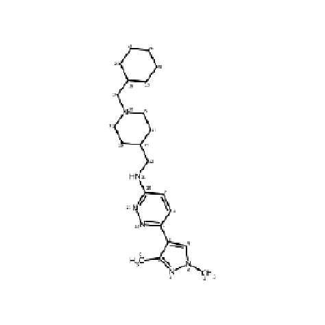 Cc1nn(C)cc1-c1ccc(NCC2CCN(CC3CCCCC3)CC2)nn1